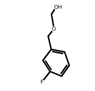 OCOCc1cccc(F)c1